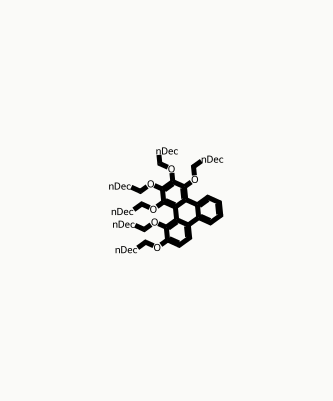 CCCCCCCCCCCOc1ccc2c3ccccc3c3c(OCCCCCCCCCCC)c(OCCCCCCCCCCC)c(OCCCCCCCCCCC)c(OCCCCCCCCCCC)c3c2c1OCCCCCCCCCCC